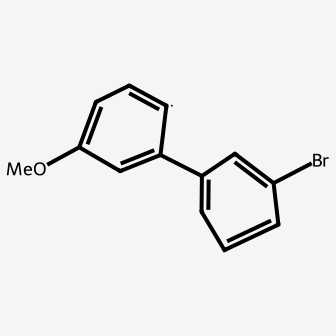 COc1cc[c]c(-c2cccc(Br)c2)c1